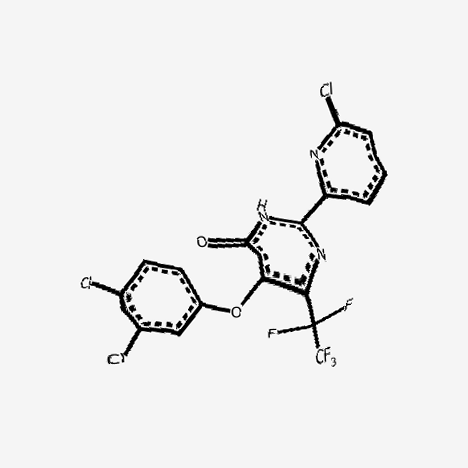 O=c1[nH]c(-c2cccc(Cl)n2)nc(C(F)(F)C(F)(F)F)c1Oc1ccc(Cl)c(Cl)c1